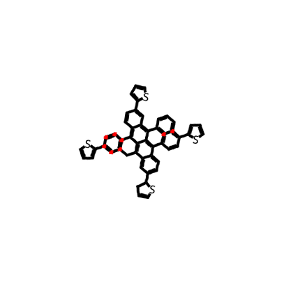 C1=CSC(c2ccc3c(-c4ccc(-c5cccs5)cc4)c4c(-c5ccccc5)c5cc(-c6cccs6)ccc5c(-c5ccc(-c6cccs6)cc5)c4c(Cc4ccccc4)c3c2)C1